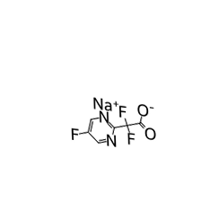 O=C([O-])C(F)(F)c1ncc(F)cn1.[Na+]